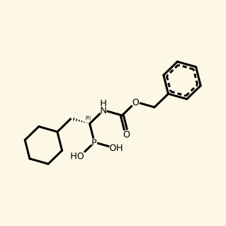 O=C(N[C@@H](CC1CCCCC1)P(O)O)OCc1ccccc1